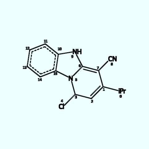 CC(C)C1=CC(Cl)N2C(=C1C#N)Nc1ccccc12